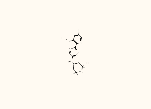 COc1cc(Br)cnc1-c1ncc(N(C)C2CC(C)(C)NC(C)(C)C2)nn1